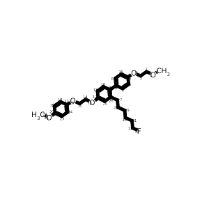 COCCOc1ccc(-c2ccc(OCCOc3ccc(OC)cc3)cc2CCCCCCF)cc1